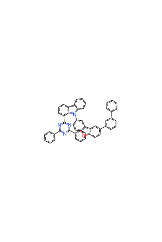 c1ccc(-c2cccc(-c3ccc4oc5ccc(-n6c7ccccc7c7cccc(-c8nc(-c9ccccc9)nc(-c9ccccc9)n8)c76)cc5c4c3)c2)cc1